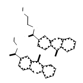 CCOC(=O)c1ccc2sc3ccccc3c(=O)c2c1.COCCOC(=O)c1ccc2c(=O)c3ccccc3sc2c1